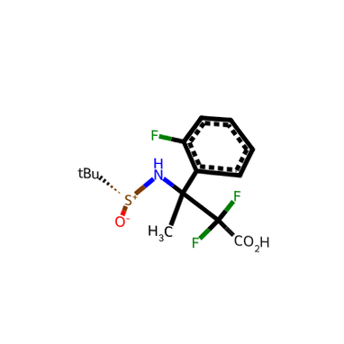 CC(C)(C)[S@@+]([O-])NC(C)(c1ccccc1F)C(F)(F)C(=O)O